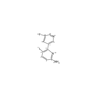 Nc1ccc(I)c(-c2cncc(F)c2)n1